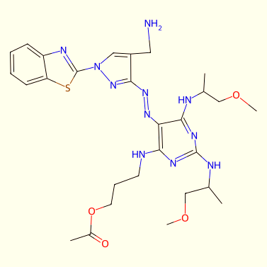 COCC(C)Nc1nc(NCCCOC(C)=O)c(N=Nc2nn(-c3nc4ccccc4s3)cc2CN)c(NC(C)COC)n1